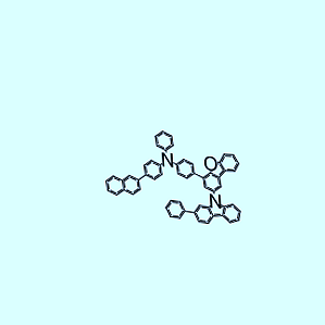 c1ccc(-c2ccc3c4ccccc4n(-c4cc(-c5ccc(N(c6ccccc6)c6ccc(-c7ccc8ccccc8c7)cc6)cc5)c5oc6ccccc6c5c4)c3c2)cc1